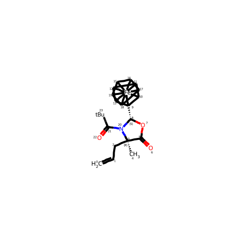 C=CC[C@]1(C)C(=O)O[C@@H]([C]23[CH]4[CH]5[CH]6[CH]2[Fe]56432789[CH]3[CH]2[CH]7[CH]8[CH]39)N1C(=O)C(C)(C)C